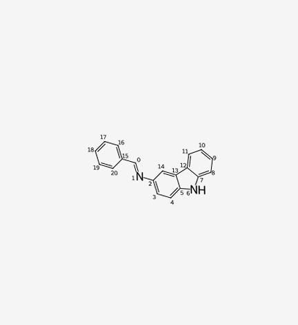 C(=Nc1ccc2[nH]c3ccccc3c2c1)c1ccccc1